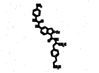 CC(=O)N1Cc2cc(NC(=O)Nc3ccc([N+](=O)[O-])cc3)ccc2C1C(=O)NC(Cc1ccc(CCC(=O)O)cc1)C(=O)O